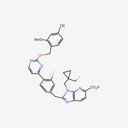 COc1cc(C#N)ccc1COc1nccc(-c2ccc(Cc3nc4ccc(C(=O)O)nc4n3CC3(CF)CC3)cc2F)n1